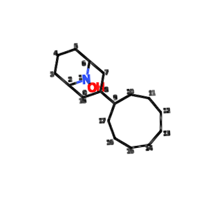 ON1C2CCCC1CC(C1CCCCCCCC1)C2